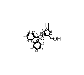 CC(C)(C)[Si](O[C@@H]1CNC[C@H]1CO)(c1ccccc1)c1ccccc1